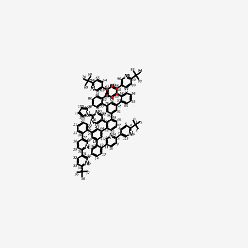 CC(C)(C)c1ccc(-c2ccc(-c3ccccc3-c3cc(-c4ccccc4-c4ccc(-c5ccc(C(C)(C)C)nc5)nc4)cc(-c4cccc(-c5cc(-c6ccccc6-c6ccc(-c7ccc(C(C)(C)C)nc7)nc6)cc(-c6ccccc6-c6ccc(-c7ccc(C(C)(C)C)nc7)nc6)c5)c4-c4cnc(-n5cccc5)nc4)c3)cn2)cn1